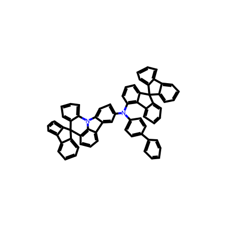 c1ccc(-c2ccc(N(c3ccc4c(c3)c3cccc5c3n4-c3ccccc3C53c4ccccc4-c4ccccc43)c3cccc4c3-c3ccccc3C43c4ccccc4-c4ccccc43)cc2)cc1